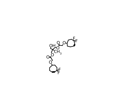 CC(CO)(COC(=O)COC1CCC#CC(F)(F)CC1)COC(=O)COC1CCC#CC(F)(F)CC1